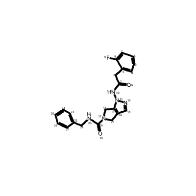 O=C(Cc1ccccc1F)Nn1ncc2c1CN(C(=O)NCc1ccccc1)C2